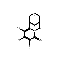 Cc1c(F)c2n(c(=O)c1F)CC1CNCC2C1